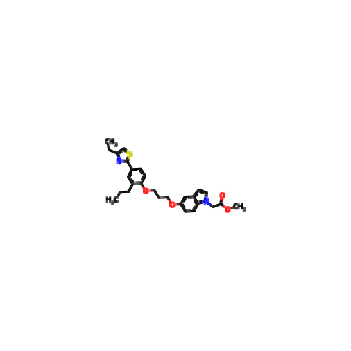 CCCc1cc(-c2nc(CC)cs2)ccc1OCCCOc1ccc2c(ccn2CC(=O)OC)c1